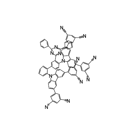 N#Cc1cc(C#N)cc(-c2ccc3c(c2)c2cc(-c4cc(C#N)cc(C#N)c4)ccc2n3-c2ccccc2-c2ccc(-n3c4ccc(-c5cc(C#N)cc(C#N)c5)cc4c4cc(-c5cc(C#N)cc(C#N)c5)ccc43)c(-c3nc(-c4ccccc4)nc(-c4ccccc4)n3)c2)c1